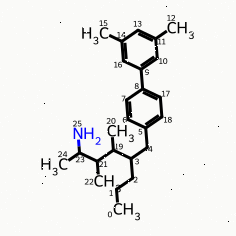 CCCC(Cc1ccc(-c2cc(C)cc(C)c2)cc1)C(C)C(C)C(C)N